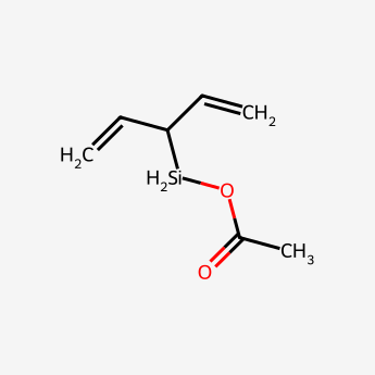 C=CC(C=C)[SiH2]OC(C)=O